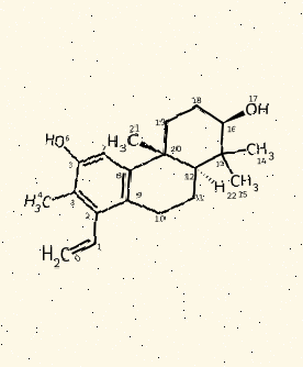 C=Cc1c(C)c(O)cc2c1CC[C@@H]1C(C)(C)[C@H](O)CC[C@@]21C